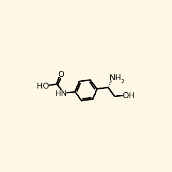 N[C@H](CO)c1ccc(NC(=O)O)cc1